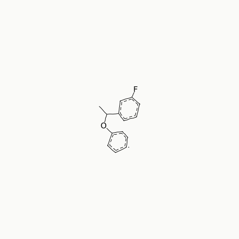 CC(Oc1cc[c]cc1)c1cccc(F)c1